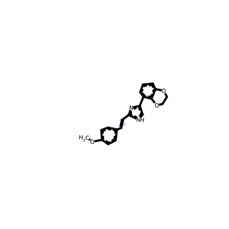 COc1ccc(/C=C/c2nc(-c3cccc4c3OCCO4)c[nH]2)cc1